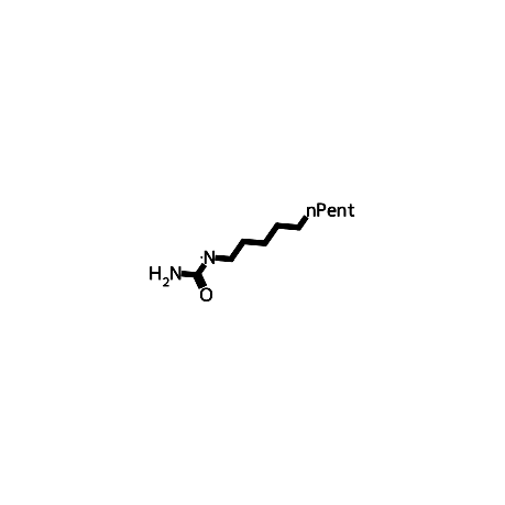 CCCCCCCCCC[N]C(N)=O